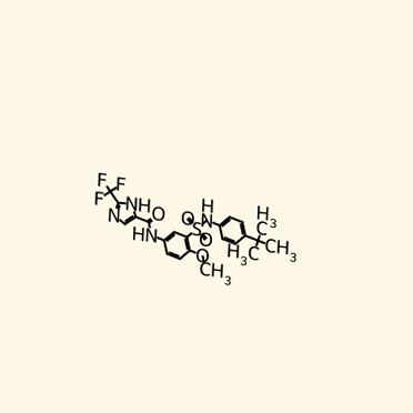 COc1ccc(NC(=O)c2cnc(C(F)(F)F)[nH]2)cc1S(=O)(=O)Nc1ccc(C(C)(C)C)cc1